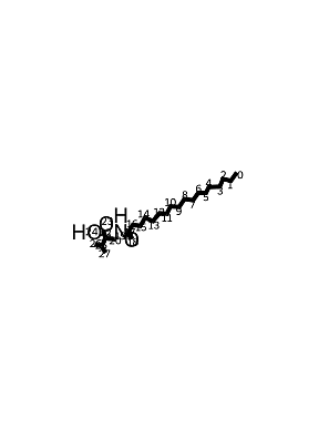 CCCCCCCCCCCCCCCCCC(=O)NCC(C(=O)O)C(C)C